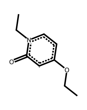 CCOc1[c]c(=O)n(CC)cc1